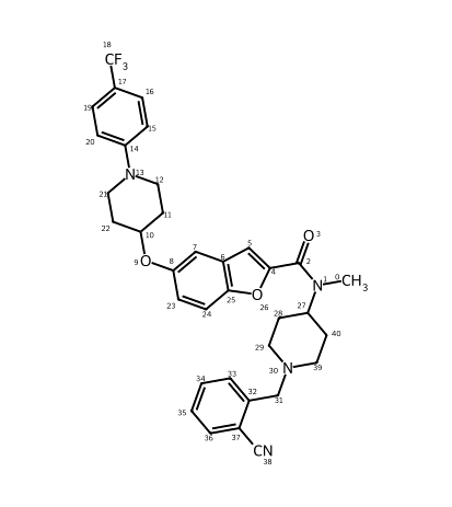 CN(C(=O)c1cc2cc(OC3CCN(c4ccc(C(F)(F)F)cc4)CC3)ccc2o1)C1CCN(Cc2ccccc2C#N)CC1